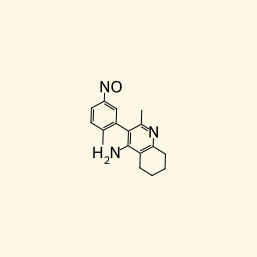 Cc1ccc(N=O)cc1-c1c(C)nc2c(c1N)CCCC2